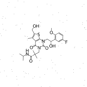 COc1ccc(F)cc1C(O)Cn1c(=O)n(CC(C)(C)C(=O)NC(C)C)c(=O)c2c(C)c(CO)sc21